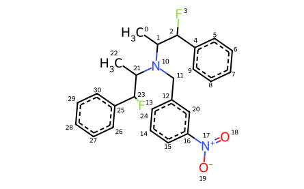 CC(C(F)c1ccccc1)N(Cc1cccc([N+](=O)[O-])c1)C(C)C(F)c1ccccc1